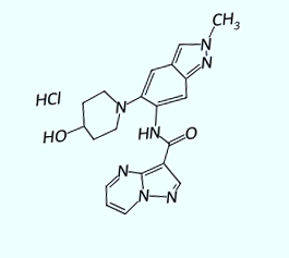 Cl.Cn1cc2cc(N3CCC(O)CC3)c(NC(=O)c3cnn4cccnc34)cc2n1